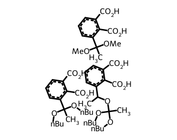 CCCCOC(C)(OCCCC)OC(C)c1cccc(C(=O)O)c1C(=O)O.CCCCOC(C)(OCCCC)c1cccc(C(=O)O)c1C(=O)O.COC(C)(OC)c1cccc(C(=O)O)c1C(=O)O